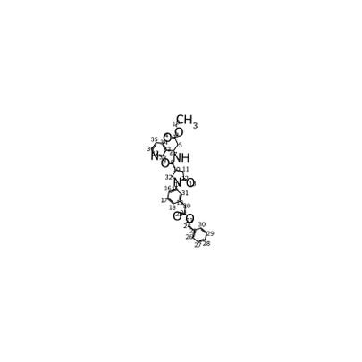 CCOC(=O)CC(NC(=O)C1CC(=O)N(c2cccc(CC(=O)OCc3ccccc3)c2)C1)c1cccnc1